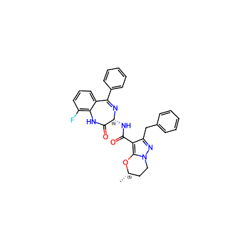 C[C@H]1CCn2nc(Cc3ccccc3)c(C(=O)N[C@H]3N=C(c4ccccc4)c4cccc(F)c4NC3=O)c2O1